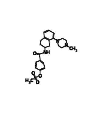 CN1CCN(c2cccc3c2CC(NC(=O)c2ccc(OS(C)(=O)=O)cc2)CC3)CC1